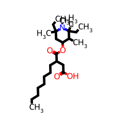 CCCCCCCCC(CC(=O)O)C(=O)OC1CC(C)(CC)N(C)C(C)(CC)C1C